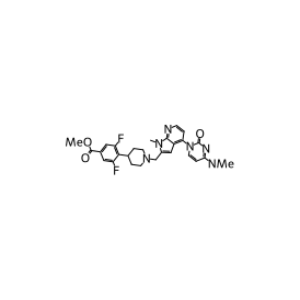 CNc1ccn(-c2ccnc3c2cc(CN2CCC(c4c(F)cc(C(=O)OC)cc4F)CC2)n3C)c(=O)n1